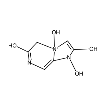 OC1=C[N+]2(O)CC(O)=NC=C2N1O